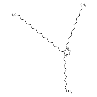 CCCCCCCCCCCCCCCCCc1n(CCCCCCCCCC)cc[n+]1CCCCCCCCCCCCC